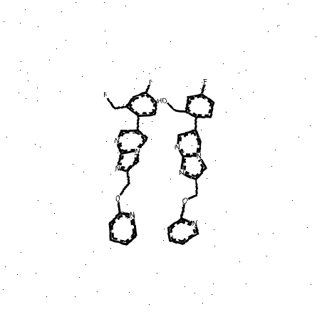 FCc1cc(F)ccc1-c1cnc2nc(COc3ccccn3)cn2c1.OCc1cc(F)ccc1-c1cnc2nc(COc3ccccn3)cn2c1